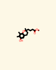 COC(=O)CCCC1(C)CCc2cc(O)c(C)c(C)c2O1